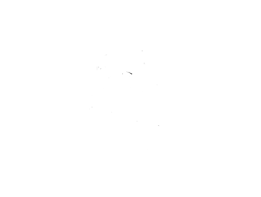 O=C1N[C@@H](c2cncc(C#Cc3ccccc3)c2)[C@H](c2cc(Cl)ccc2Cl)O1